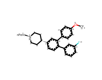 CCCCC[Si@H]1CC[C@H](c2ccc(-c3cccc(F)c3)c(-c3ccc(OC(F)(F)F)cc3)c2)CC1